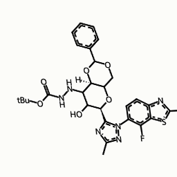 Cc1nc([C@@H]2OC3COC(c4ccccc4)O[C@@H]3C(NNC(=O)OC(C)(C)C)C2O)n(-c2ccc3nc(C)sc3c2F)n1